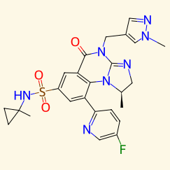 C[C@@H]1CN=C2N(Cc3cnn(C)c3)C(=O)c3cc(S(=O)(=O)NC4(C)CC4)cc(-c4ccc(F)cn4)c3N21